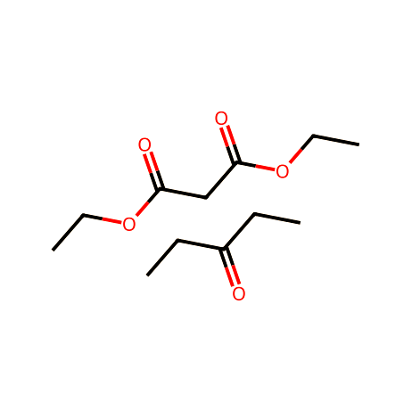 CCC(=O)CC.CCOC(=O)CC(=O)OCC